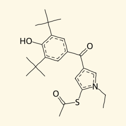 CCn1cc(C(=O)c2cc(C(C)(C)C)c(O)c(C(C)(C)C)c2)cc1SC(C)=O